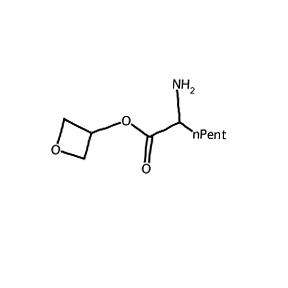 CCCCCC(N)C(=O)OC1COC1